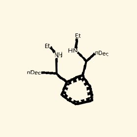 CCCCCCCCCCC(NCC)c1ccccc1C(CCCCCCCCCC)NCC